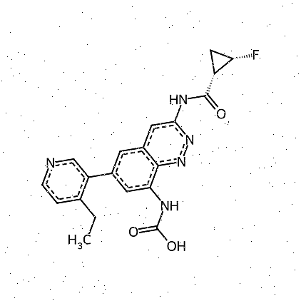 CCc1ccncc1-c1cc(NC(=O)O)c2nnc(NC(=O)[C@@H]3C[C@@H]3F)cc2c1